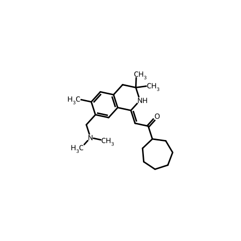 Cc1cc2c(cc1CN(C)C)C(=CC(=O)C1CCCCCC1)NC(C)(C)C2